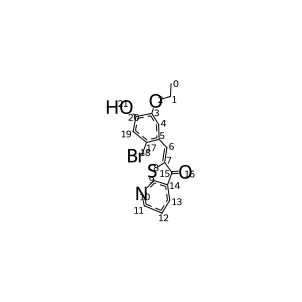 CCOc1cc(/C=C2\Sc3ncccc3C2=O)c(Br)cc1O